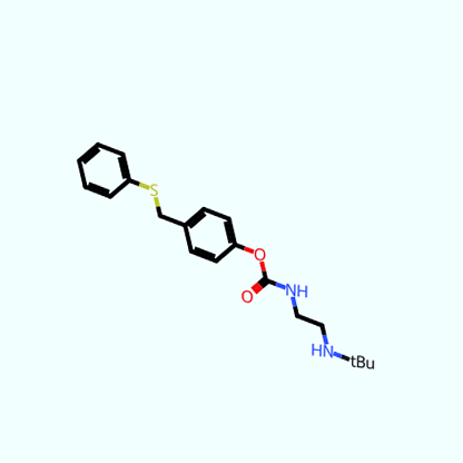 CC(C)(C)NCCNC(=O)Oc1ccc(CSc2ccccc2)cc1